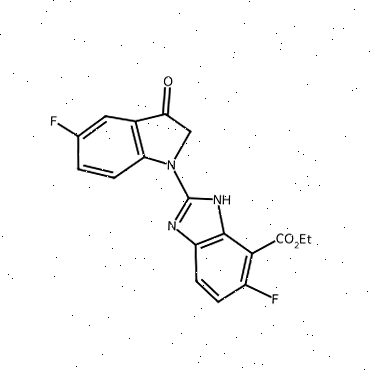 CCOC(=O)c1c(F)ccc2nc(N3CC(=O)c4cc(F)ccc43)[nH]c12